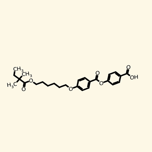 CCC(C)(C)C(=O)OCCCCCCOc1ccc(C(=O)Oc2ccc(C(=O)O)cc2)cc1